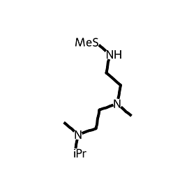 CSNCCN(C)CCN(C)C(C)C